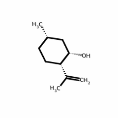 C=C(C)[C@@H]1CC[C@H](C)C[C@@H]1O